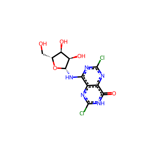 O=c1[nH]c(Cl)nc2c(N[C@@H]3O[C@H](CO)[C@@H](O)[C@H]3O)nc(Cl)nc12